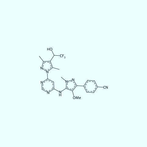 COc1c(-c2ccc(C#N)cc2)nn(C)c1Nc1cc(-n2nc(C)c(C(O)C(F)(F)F)c2C)ncn1